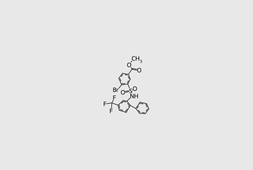 COC(=O)c1ccc(Br)c(S(=O)(=O)Nc2cc(C(F)(F)F)ccc2-c2ccccc2)c1